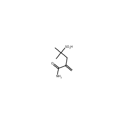 C=C(CC(C)(C)S(=O)(=O)O)C(N)=O